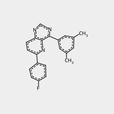 Cc1cc(C)cc(-c2ncnc3ccc(-c4ccc(F)cc4)nc23)c1